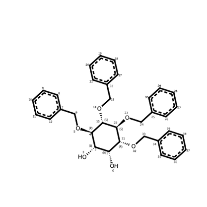 O[C@@H]1[C@H](O)[C@@H](OCc2ccccc2)[C@H](OCc2ccccc2)[C@@H](OCc2ccccc2)[C@@H]1OCc1ccccc1